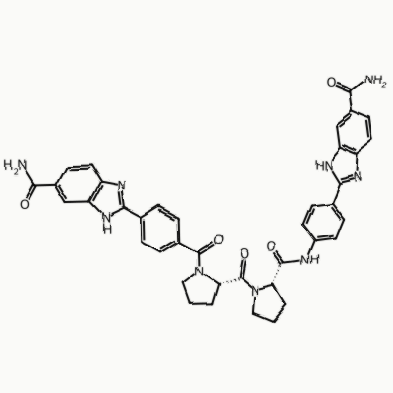 NC(=O)c1ccc2nc(-c3ccc(NC(=O)[C@@H]4CCCN4C(=O)[C@@H]4CCCN4C(=O)c4ccc(-c5nc6ccc(C(N)=O)cc6[nH]5)cc4)cc3)[nH]c2c1